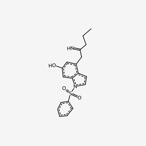 CCCC(=N)Cc1cc(O)cc2c1ccn2S(=O)(=O)c1ccccc1